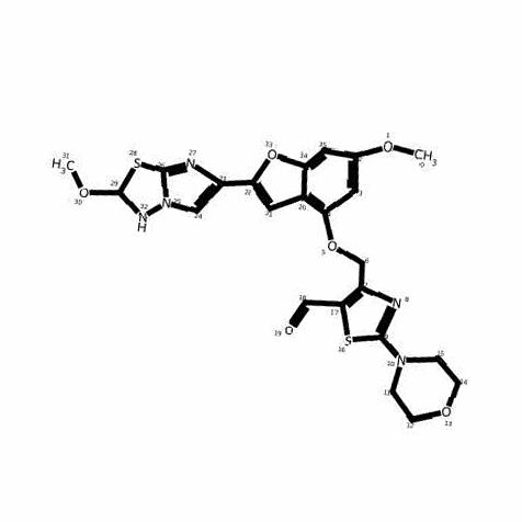 COc1cc(OCc2nc(N3CCOCC3)sc2C=O)c2cc(-c3cn4c(n3)SC(OC)N4)oc2c1